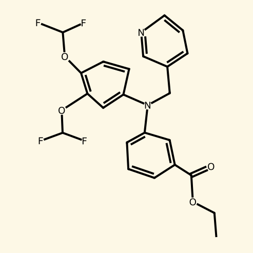 CCOC(=O)c1cccc(N(Cc2cccnc2)c2ccc(OC(F)F)c(OC(F)F)c2)c1